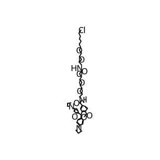 O=C(NCCOCCOCCCCCCCl)OCCOCCOCCN(I)C(=O)c1ccc2c(c1)C1(OC2=O)c2ccc(N3CCC3)cc2Oc2cc(N3CCC3)ccc21